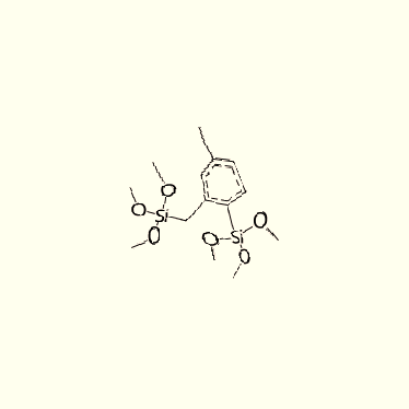 CO[Si](Cc1cc(C)ccc1[Si](OC)(OC)OC)(OC)OC